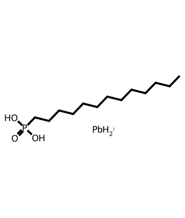 CCCCCCCCCCCCCP(=O)(O)O.[PbH2]